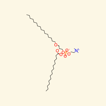 CCCCCCCCCCCCCCCCOC[C@@H](COP(=O)([O-])OCC[N+](C)(C)C)OC(=O)CCCCCCCCCCCCCCC